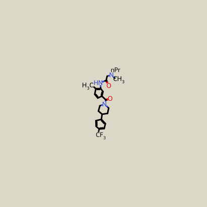 CCCN(C)CC(=O)Nc1cc(C(=O)N2CCC(c3ccc(C(F)(F)F)cc3)CC2)ccc1C